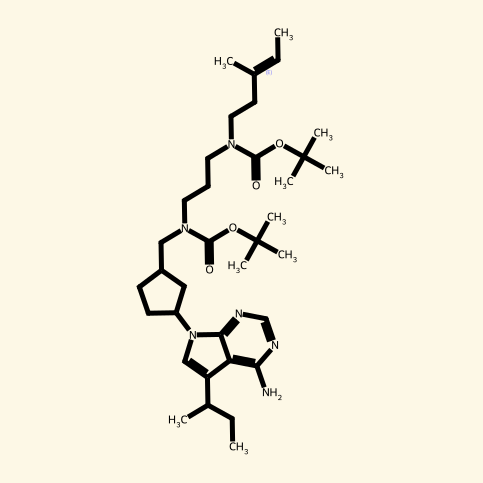 C/C=C(\C)CCN(CCCN(CC1CCC(n2cc(C(C)CC)c3c(N)ncnc32)C1)C(=O)OC(C)(C)C)C(=O)OC(C)(C)C